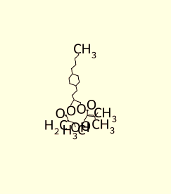 C=C(CO)C(=O)OCC(CCC1CCC(CCCCC)CC1)COC(=O)C(COC)=C(C)C